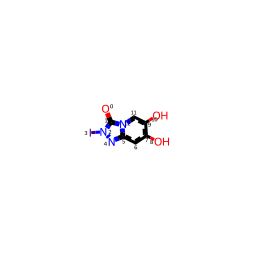 O=c1n(I)nc2cc(O)c(O)cn12